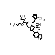 CCCON(CCC)C(=O)CN1C[C@H](c2ccc3c(c2)CCO3)[C@@H](C(=O)O)[C@@H]1CCc1nccn1C